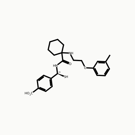 Cc1cccc(OCCNC2(C(=O)N[C@@H](S)c3ccc(C(=O)O)cc3)CCCCC2)c1